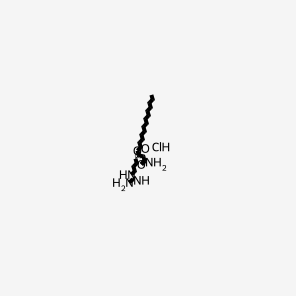 CCCCCCCCCCCCCC(=O)O[C@@H](CCCCNC(=N)N)CC(N)=O.Cl